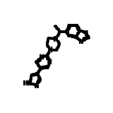 CC(c1ccc2scnc2c1)N1CCN(c2ncc(-c3cn[nH]c3)cn2)CC1